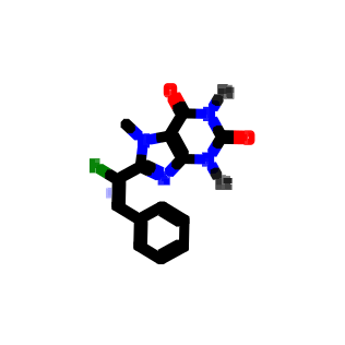 CCn1c(=O)c2c(nc(/C(F)=C\c3ccccc3)n2C)n(CC)c1=O